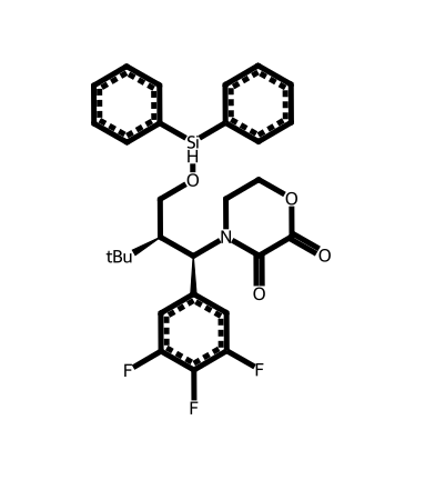 CC(C)(C)[C@@H](CO[SiH](c1ccccc1)c1ccccc1)[C@H](c1cc(F)c(F)c(F)c1)N1CCOC(=O)C1=O